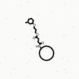 CC1CCCC(OCCCOC(=O)CCC(=O)NC2CCCCCCCCCCCCCCC2)C1